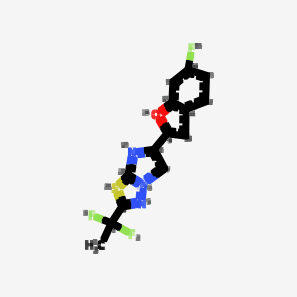 CC(F)(F)c1nn2cc(-c3cc4ccc(F)cc4o3)nc2s1